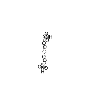 O=C1NC(=O)C(Cc2ccc(OCC3CCC(COc4ccc(CC5SC(=O)NC5=O)cc4)CC3)cc2)S1